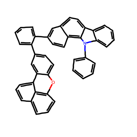 c1ccc(-n2c3ccccc3c3ccc4cc(-c5ccccc5-c5ccc6c(c5)-c5cccc7cccc(c57)O6)ccc4c32)cc1